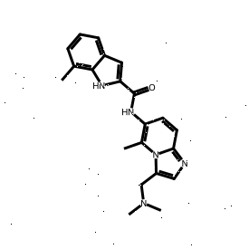 Cc1cccc2cc(C(=O)Nc3ccc4ncc(CN(C)C)n4c3C)[nH]c12